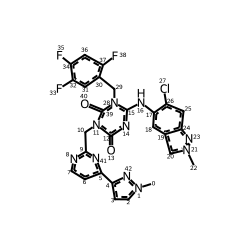 Cn1ccc(-c2ccnc(Cn3c(=O)nc(Nc4cc5cn(C)nc5cc4Cl)n(Cc4cc(F)c(F)cc4F)c3=O)n2)n1